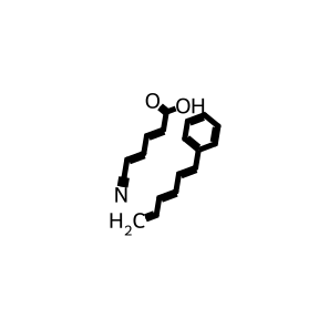 C=CC=CC=Cc1ccccc1.N#CC=CC=CC(=O)O